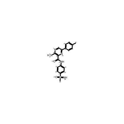 Cc1ccc(-c2cnc(N)c(C(=O)Nc3ccc(S(C)(=N)=O)cc3)n2)cc1